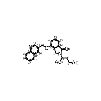 CC(=O)CCC(C(C)=O)N1Cc2c(OCc3cnc4ccccc4c3)cccc2C1=O